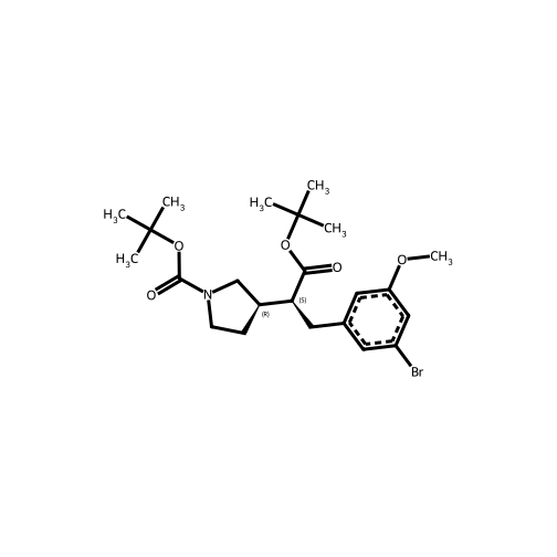 COc1cc(Br)cc(C[C@H](C(=O)OC(C)(C)C)[C@H]2CCN(C(=O)OC(C)(C)C)C2)c1